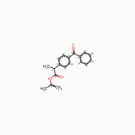 C=C(C)OC(=O)C(C)c1ccc(C(=O)c2ccccc2)cc1